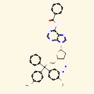 COc1ccc(C(OC[C@H]2O[C@@H](n3cnc4c(NC(=O)c5ccccc5)ncnc43)[C@H](O)[C@@H]2N=[N+]=[N-])(c2ccccc2)c2ccc(OC)cc2)cc1